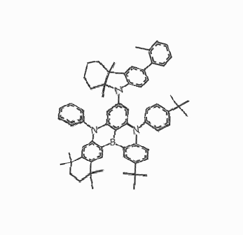 Cc1ccccc1-c1ccc2c(c1)C1(C)CCCCC1(C)N2c1cc2c3c(c1)N(c1ccccc1)c1cc4c(cc1B3c1cc(C(C)(C)C)ccc1N2c1ccc(C(C)(C)C)cc1)C(C)(C)CCC4(C)C